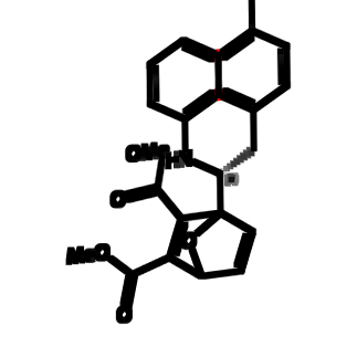 COC(=O)C1=C(C(=O)OC)C2([C@@H](Cc3ccc(C)cc3)Nc3ccccc3)C=CC1O2